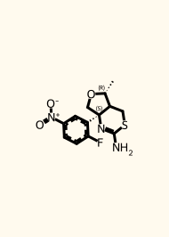 C[C@H]1OC[C@]2(c3cc([N+](=O)[O-])ccc3F)N=C(N)SCC12